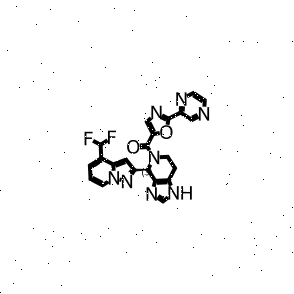 O=C(c1cnc(-c2cnccn2)o1)N1CCc2[nH]cnc2[C@H]1c1cc2c(C(F)F)cccn2n1